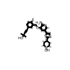 CC(C)(O)C#Cc1ccc(F)c(COc2cc(-c3cnc(C4CCN(O)CC4)s3)cnc2N)c1